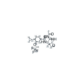 CC(=O)NC(=N)C(NC(=O)c1ccc(C2CC2)c(OCC(F)(F)F)c1)C1(C)COC1